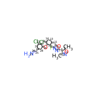 Cc1noc(C)c1-c1nnc(Cc2ccc(Cl)c(Oc3cc(Cl)cc(/C=C/N)c3)c2F)o1